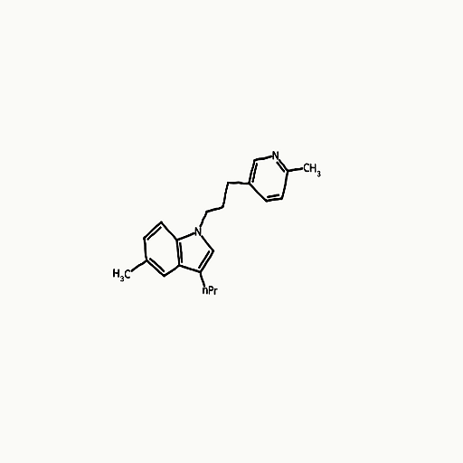 CCCc1cn(CCCc2ccc(C)nc2)c2ccc(C)cc12